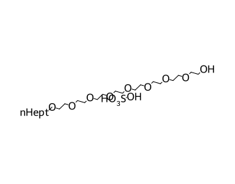 CCCCCCCOCCOCCOCCOCCOCCOCCOCCOCCO.O=S(=O)(O)O